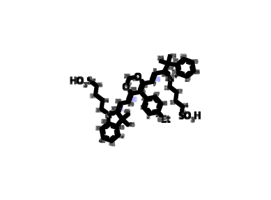 CCc1ccc(C2=C(/C=C/C3=[N+](CCCCS(=O)(=O)O)c4ccccc4C3(C)C)OCO/C2=C\C=C2\N(CCCCS(=O)(=O)O)c3ccccc3C2(C)C)cc1